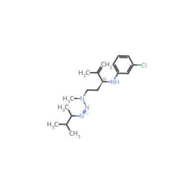 C=C(C)[C@H](CCN(C)/N=N\C(C)C(C)C)Nc1cccc(Cl)c1